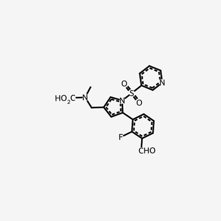 CN(Cc1cc(-c2cccc(C=O)c2F)n(S(=O)(=O)c2cccnc2)c1)C(=O)O